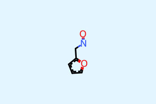 O=NCc1ccco1